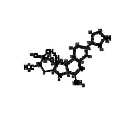 CN(Cc1nc2c(N)nc3cc(-c4cc[nH]n4)ccc3c2[nH]1)S(C)(=O)=O